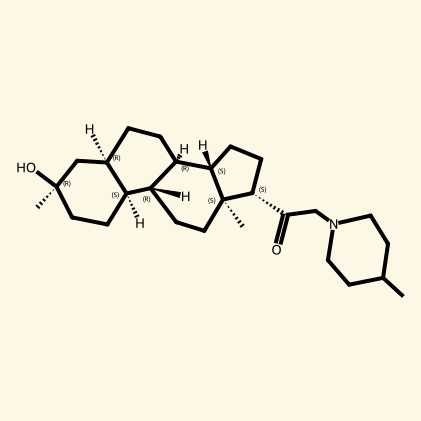 CC1CCN(CC(=O)[C@H]2CC[C@H]3[C@@H]4CC[C@@H]5C[C@](C)(O)CC[C@@H]5[C@H]4CC[C@]23C)CC1